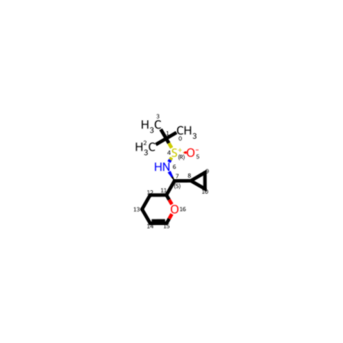 CC(C)(C)[S@+]([O-])N[C@@H](C1CC1)C1CCC=CO1